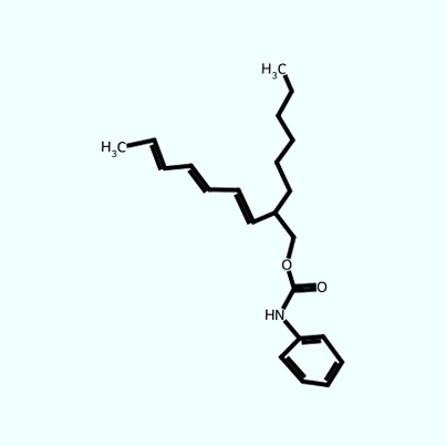 C/C=C/C=C/C=C/C(CCCCCC)COC(=O)Nc1ccccc1